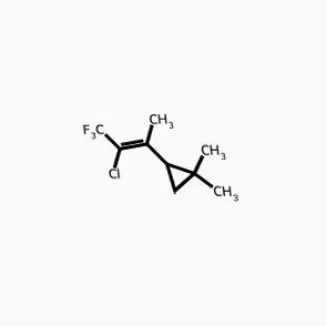 CC(=C(Cl)C(F)(F)F)C1[CH]C1(C)C